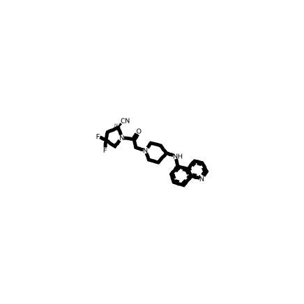 N#C[C@@H]1CC(F)(F)CN1C(=O)CN1CCC(Nc2cccc3ncccc23)CC1